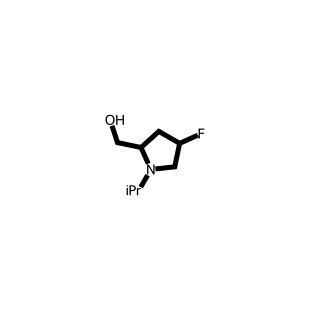 CC(C)N1CC(F)CC1CO